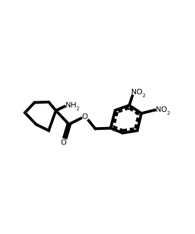 NC1(C(=O)OCc2ccc([N+](=O)[O-])c([N+](=O)[O-])c2)CCCCC1